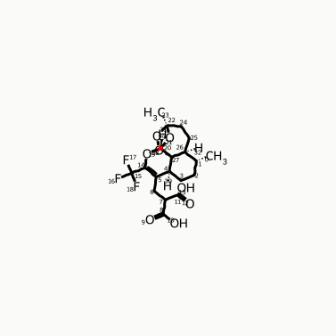 C[C@@H]1CC[C@H]2C(CC(C(=O)O)C(=O)O)=C(C(F)(F)F)O[C@@H]3O[C@]4(C)CC[C@@H]1[C@]32OO4